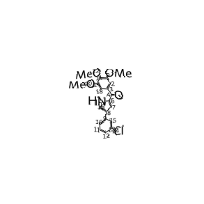 COc1cc(C(=O)c2cc(-c3cccc(Cl)c3)c[nH]2)cc(OC)c1OC